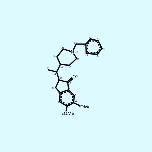 COc1cc2c(cc1OC)C(=O)C(C(C)C1CCN(Cc3ccccc3)CC1)C2